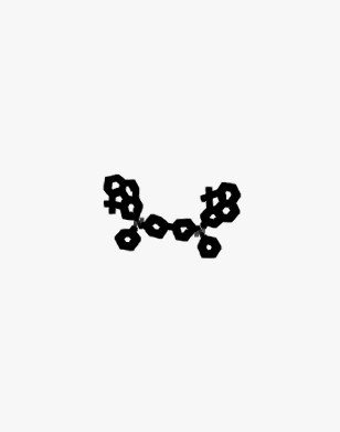 CC1(C)C2=C3c4c(cc(N(c5ccccc5)c5ccc(-c6ccc(N(c7ccccc7)c7cc8c9c(ccc%10cccc(c%109)C8(C)C)c7)cc6)cc5)cc41)C=CC3CC=C2